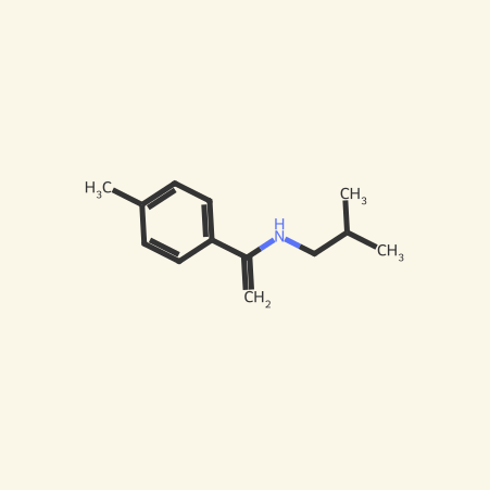 C=C(NCC(C)C)c1ccc(C)cc1